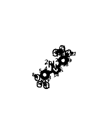 [2H]N1C(c2ccc(OC)c([N+](=O)[O-])c2)CCC1c1ccc(OC)c([N+](=O)[O-])c1